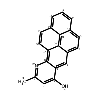 Cc1cc(O)c2cc3ccc4cccc5ccc(c2n1)c3c45